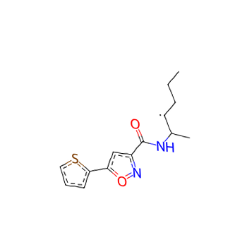 CCC[CH]C(C)NC(=O)c1cc(-c2cccs2)on1